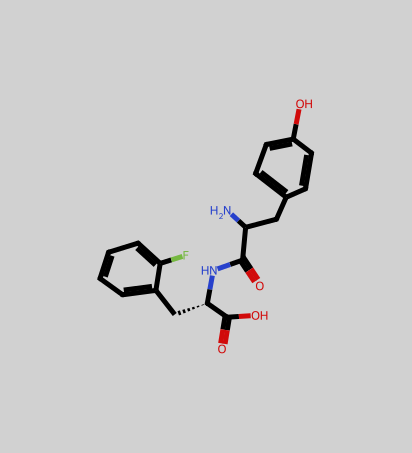 NC(Cc1ccc(O)cc1)C(=O)N[C@@H](Cc1ccccc1F)C(=O)O